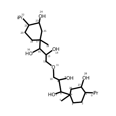 CC(C)C1CCC(C)(C(O)C(O)COCC(O)C(O)C2(C)CCC(C(C)C)C(O)C2)CC1O